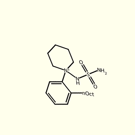 CCCCCCCCc1ccccc1[N+]1(NS(N)(=O)=O)CCCCC1